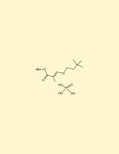 CCCCOC(=O)C(C)=COCC[N+](C)(C)C.O=P(O)(O)O